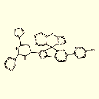 N#Cc1ccc(-c2ccc3c(c2)C2(c4ccccc4Oc4ccccc42)c2cc(C4C=C(C5=C=CC=C5)NC(c5ccccc5)N4)ccc2-3)cc1